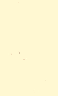 Br.Br.CC(C)=CCNCCCCCCN